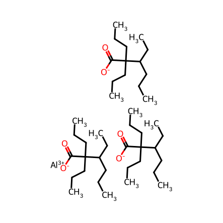 CCCC(CC)C(CCC)(CCC)C(=O)[O-].CCCC(CC)C(CCC)(CCC)C(=O)[O-].CCCC(CC)C(CCC)(CCC)C(=O)[O-].[Al+3]